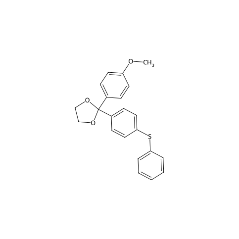 COc1ccc(C2(c3ccc(Sc4ccccc4)cc3)OCCO2)cc1